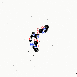 COc1cc2c(cc1OCc1cc(N(C(C)C)C(C)(C)CCOC(C)(C)C)cc(COc3cc4c(cc3OC)C(=O)N3c5ccccc5C[C@H]3CN4)n1)N=C[C@@H]1Cc3ccccc3N1C2=O